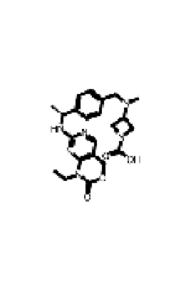 CCN1C(=O)OCc2cnc(N[C@@H](C)c3ccc(CN(C)C4CN(C(=O)O)C4)cc3)nc21